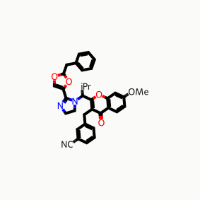 COc1ccc2c(=O)c(Cc3cccc(C#N)c3)c(C(C(C)C)N3CCN=C3C3=COC(Cc4ccccc4)O3)oc2c1